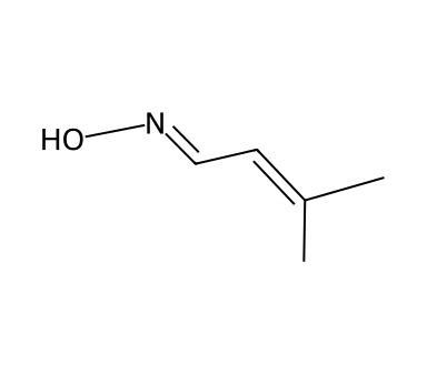 CC(C)=C/C=N/O